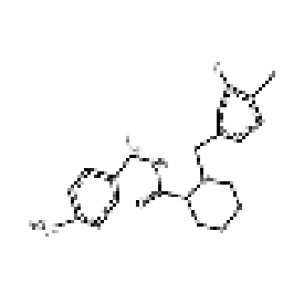 C[C@H](NC(=O)C1CCCCN1Cc1ccc(F)c(F)c1)c1ccc(C(=O)O)cc1